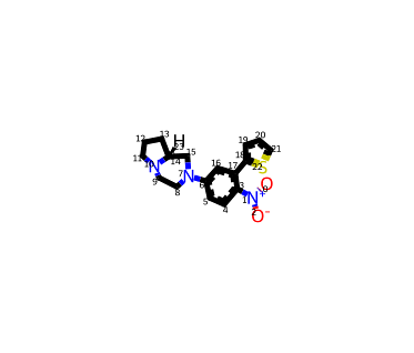 O=[N+]([O-])c1ccc(N2CCN3CCC[C@@H]3C2)cc1-c1cccs1